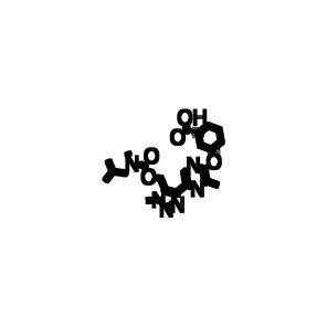 Cc1nc(-c2nnn(C)c2COC(=O)N(C)CC(C)C)cnc1O[C@H]1CCC[C@H](C(=O)O)C1